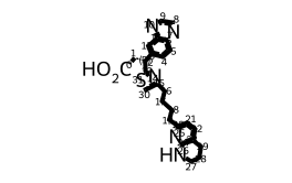 O=C(O)C[C@H](c1ccc2nccnc2c1)c1nc(CCCCc2ccc3c(n2)NCCC3)cs1